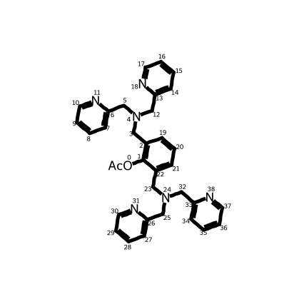 CC(=O)Oc1c(CN(Cc2ccccn2)Cc2ccccn2)cccc1CN(Cc1ccccn1)Cc1ccccn1